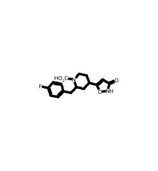 O=C(O)N1CCC(c2cc(=O)[nH]o2)CC1Cc1ccc(F)cc1